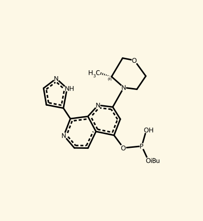 CC(C)COP(O)Oc1cc(N2CCOC[C@H]2C)nc2c(-c3ccn[nH]3)nccc12